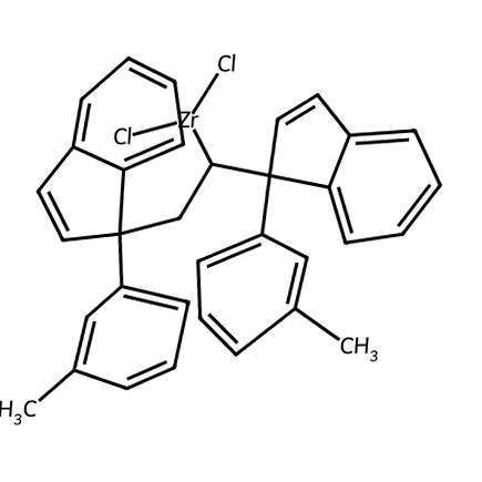 Cc1cccc(C2(C[CH]([Zr]([Cl])[Cl])C3(c4cccc(C)c4)C=Cc4ccccc43)C=Cc3ccccc32)c1